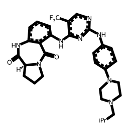 CC(C)CN1CCN(c2ccc(Nc3ncc(C(F)(F)F)c(Nc4cccc5c4C(=O)N4CCC[C@H]4C(=O)N5)n3)cc2)CC1